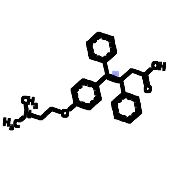 CN(C)CCOc1ccc(/C(=C(/CC(=O)O)c2ccccc2)c2ccccc2)cc1